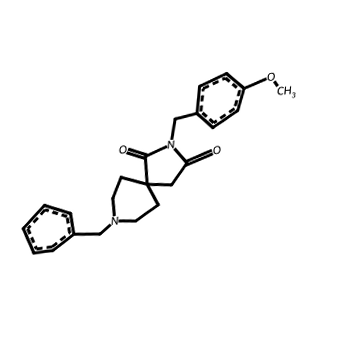 COc1ccc(CN2C(=O)CC3(CCN(Cc4ccccc4)CC3)C2=O)cc1